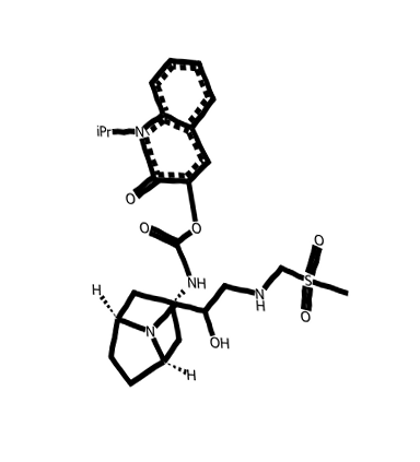 CC(C)n1c(=O)c(OC(=O)N[C@@H]2C[C@H]3CC[C@@H](C2)N3CC(O)CNCS(C)(=O)=O)cc2ccccc21